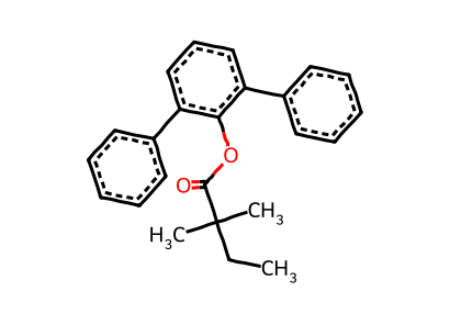 CCC(C)(C)C(=O)Oc1c(-c2ccccc2)cccc1-c1ccccc1